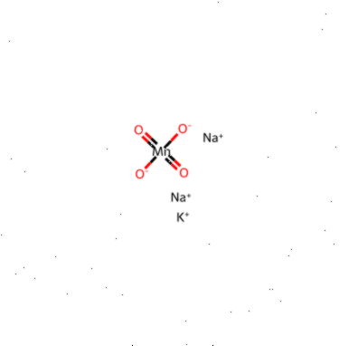 [K+].[Na+].[Na+].[O]=[Mn](=[O])([O-])[O-]